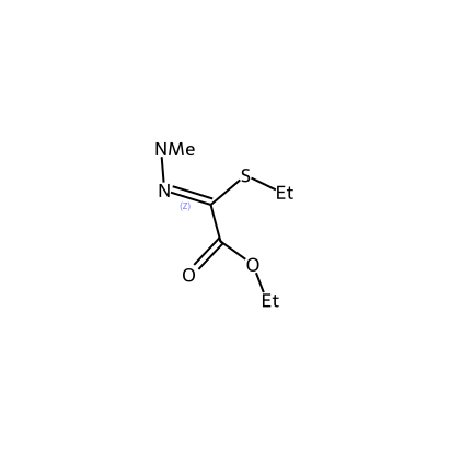 CCOC(=O)/C(=N/NC)SCC